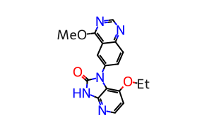 CCOc1ccnc2[nH]c(=O)n(-c3ccc4ncnc(OC)c4c3)c12